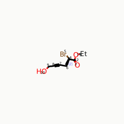 CCOC(=O)/C(Br)=C/C#CCO